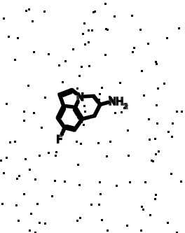 NC1Cc2cc(F)cc3ccn(c23)C1